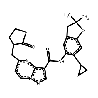 CC1(C)Cc2cc(NC(=O)c3cnn4ccc(CC5CCNC5=O)nc34)c(C3CC3)cc2O1